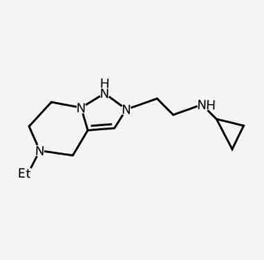 CCN1CCN2NN(CCNC3CC3)C=C2C1